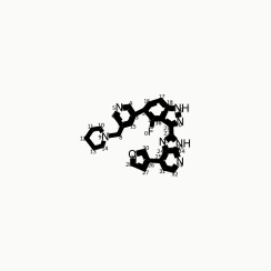 Fc1c(-c2cncc(CN3CCCCC3)c2)ccc2[nH]nc(-c3nc4c(-c5ccoc5)ccnc4[nH]3)c12